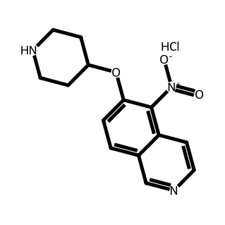 Cl.O=[N+]([O-])c1c(OC2CCNCC2)ccc2cnccc12